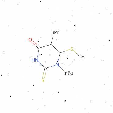 CCCCN1C(=S)NC(=O)C(C(C)C)C1SCC